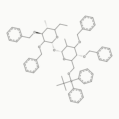 CCC1O[C@H](O[C@H]2OC(CO[Si](c3ccccc3)(c3ccccc3)C(C)(C)C)[C@@H](OCc3ccccc3)C(OCc3ccccc3)C2C)C(OCc2ccccc2)[C@@H](OCc2ccccc2)[C@@H]1C